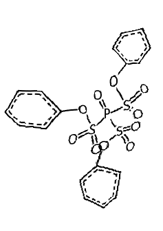 O=P(S(=O)(=O)Oc1ccccc1)(S(=O)(=O)Oc1ccccc1)S(=O)(=O)Oc1ccccc1